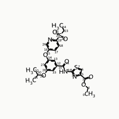 CCOC(=O)c1csc(NC(=O)c2cc(Oc3ccc(S(=O)(=O)CC)nc3)cc(OC(C)C)c2)n1